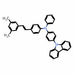 Cc1cc(C)cc(/C=C/c2ccc(N(c3ccccc3)c3ccc(-n4c5ccccc5c5ccccc54)cc3)cc2)c1